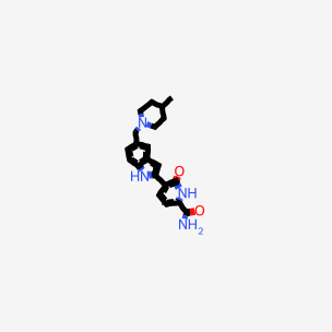 CC1CCN(Cc2ccc3[nH]c(-c4c[c]c(C(N)=O)[nH]c4=O)cc3c2)CC1